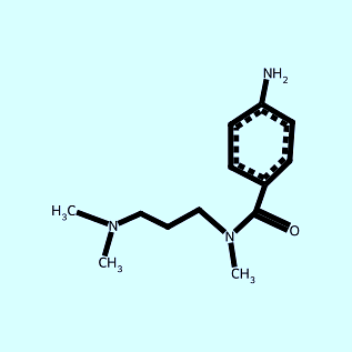 CN(C)CCCN(C)C(=O)c1ccc(N)cc1